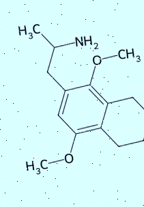 COc1cc(CC(C)N)c(OC)c2c1CCCC2